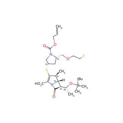 C=CCOC(=O)N1C[C@@H](SC2=C(C(=O)O)N3C(=O)[C@H]([C@@H](C)O[Si](C)(C)C(C)(C)C)[C@H]3[C@@H]2C)C[C@H]1COCCF